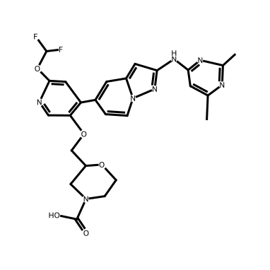 Cc1cc(Nc2cc3cc(-c4cc(OC(F)F)ncc4OCC4CN(C(=O)O)CCO4)ccn3n2)nc(C)n1